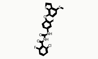 CSc1ccc(Oc2ccc(NC(=O)NC(=O)c3c(F)cccc3Cl)cc2I)c2sccc12